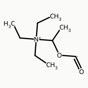 CC[N+](CC)(CC)C(C)O[C]=O